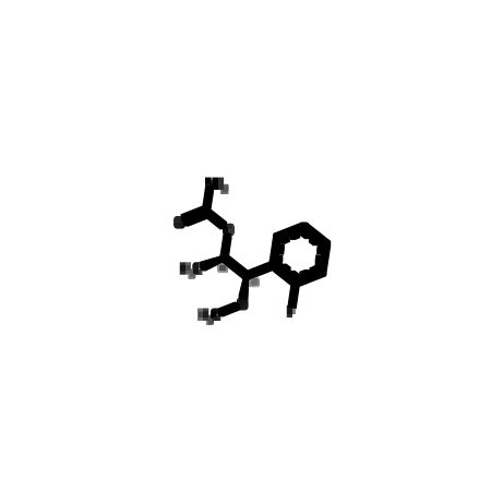 CO[C@H](c1ccccc1F)[C@@H](C)OC(N)=O